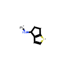 CC(C)NC1CCc2sccc21